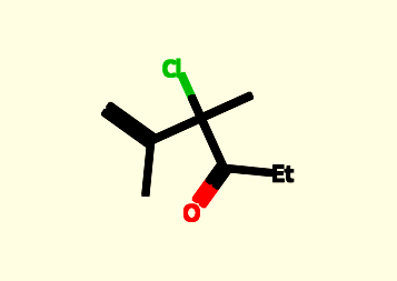 C=C(C)C(C)(Cl)C(=O)CC